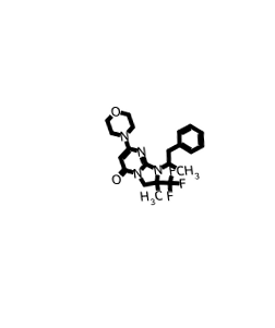 CC(Cc1ccccc1)N1c2nc(N3CCOCC3)cc(=O)n2CC1(C)C(F)(F)F